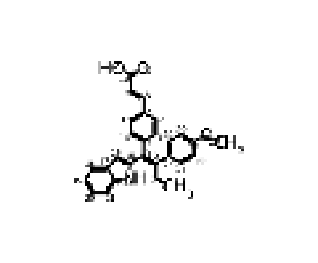 CC/C(=C(/c1ccc(/C=C/C(=O)O)cc1)c1cc2ccccc2[nH]1)c1ccc(OC)cc1